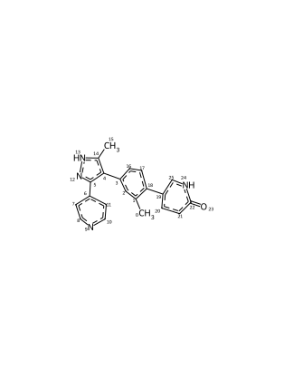 Cc1cc(-c2c(-c3ccncc3)n[nH]c2C)ccc1-c1ccc(=O)[nH]c1